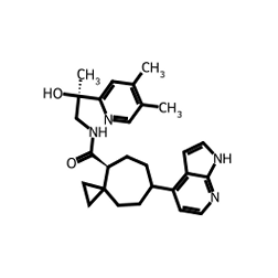 Cc1cnc([C@](C)(O)CNC(=O)[C@H]2CCC(c3ccnc4[nH]ccc34)CCC23CC3)cc1C